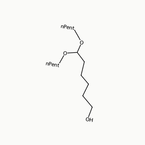 CCCCCOC(CCCCCO)OCCCCC